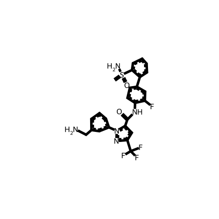 C=S(N)(=O)c1ccccc1-c1ccc(NC(=O)c2cc(C(F)(F)F)nn2-c2cccc(CN)c2)c(F)c1